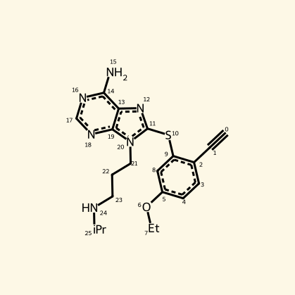 C#Cc1ccc(OCC)cc1Sc1nc2c(N)ncnc2n1CCCNC(C)C